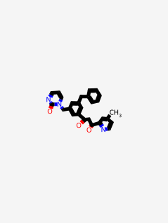 Cc1ccnc(C(=O)CC(=O)c2cc(Cc3ccccc3)cc(Cn3cccnc3=O)c2)c1